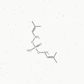 CC(C)=C[SiH2]OP(=O)(O)O[SiH2]C=C(C)C